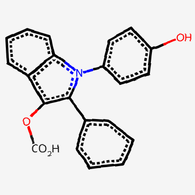 O=C(O)Oc1c(-c2ccccc2)n(-c2ccc(O)cc2)c2ccccc12